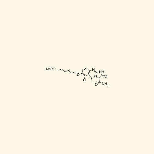 CC(=O)OCCCCCCCOc1ccc2c(c1Cl)C(C)N1C(=N2)NC(=O)C1C(N)=O